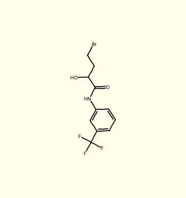 O=C(Nc1cccc(C(F)(F)F)c1)C(O)CCBr